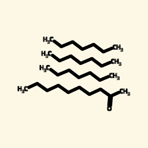 CCCCCCC.CCCCCCC.CCCCCCC.CCCCCCCCC(C)=O